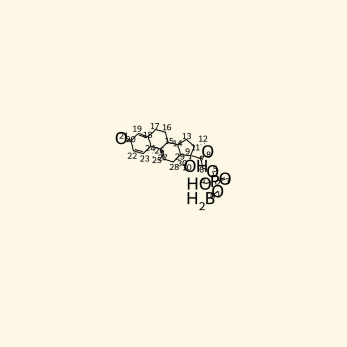 BOP(=O)(O)OCC(=O)[C@@]1(O)[C@@H](C)CC2C3CCC4=CC(=O)C=C[C@]4(C)C3=CC[C@@]21C